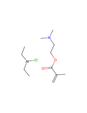 C=C(C)C(=O)OCCN(C)C.C[CH2][Al]([Cl])[CH2]C